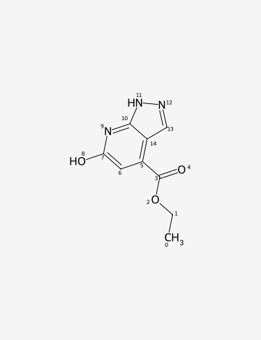 CCOC(=O)c1cc(O)nc2[nH]ncc12